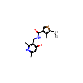 CCBc1scc(C(=O)NCc2c(C)[nH]c(C)cc2=O)c1C